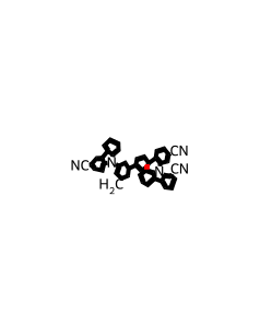 C=C1C=C(n2c3ccccc3c3cc(C#N)ccc32)CC(C2=CCC(c3ccc(C#N)cc3-n3c4ccccc4c4cccc(C#N)c43)C=C2)C1